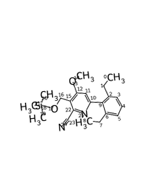 CCc1cccc(CC)c1-c1cc(OC)c(CO[Si](C)(C)C)c(C#N)n1